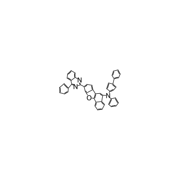 c1ccc(-c2ccc(N(c3ccccc3)c3cc4c5ccc(-c6nc(-c7ccccc7)c7ccccc7n6)cc5oc4c4ccccc34)cc2)cc1